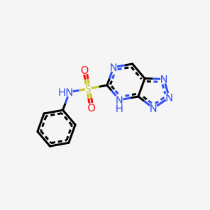 O=S(=O)(Nc1ccccc1)c1ncc2nnnc-2[nH]1